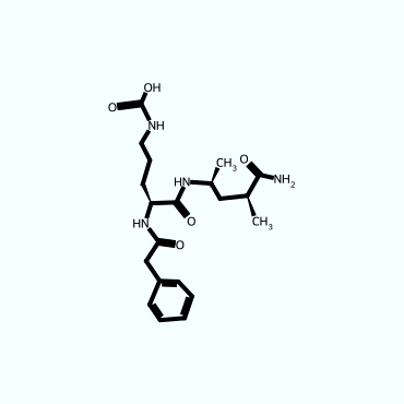 C[C@@H](C[C@H](C)C(N)=O)NC(=O)[C@H](CCCNC(=O)O)NC(=O)Cc1ccccc1